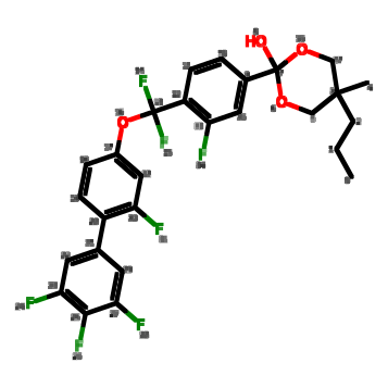 CCCC1(C)COC(O)(c2ccc(C(F)(F)Oc3ccc(-c4cc(F)c(F)c(F)c4)c(F)c3)c(F)c2)OC1